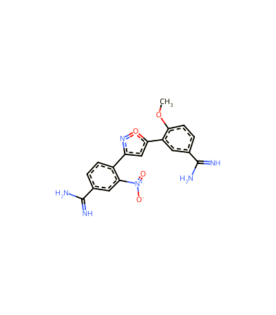 COc1ccc(C(=N)N)cc1-c1cc(-c2ccc(C(=N)N)cc2[N+](=O)[O-])no1